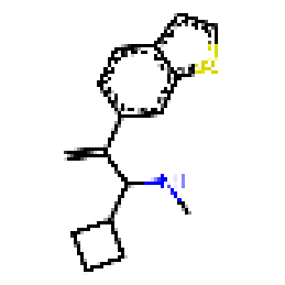 C=C(c1ccc2ccsc2c1)C(NC)C1CCC1